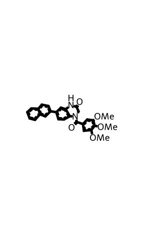 COc1cc(C(=O)N2CC(=O)Nc3cc(-c4ccc5ccccc5c4)ccc32)cc(OC)c1OC